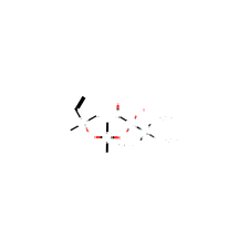 C=C[Si](C)(C)O[Si](C)(C)O[Si](O)([SiH2]O)[Si](OC)(OC)OC